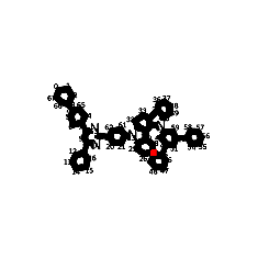 c1ccc(-c2ccc(-c3cc(-c4ccccc4)nc(-c4ccc(-n5c6ccccc6c6c5ccc5c7ccccc7n(-c7cc(-c8ccccc8)cc(-c8ccccc8)c7)c56)cc4)n3)cc2)cc1